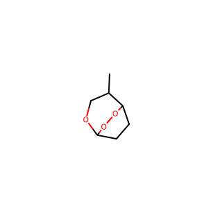 CC1CO[C]2CCC1OO2